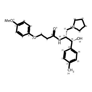 COc1ccc(OCCC(=O)N[C@H](CN2CCCC2)[C@H](O)c2ccc(C)cc2)cc1